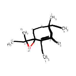 CCC1=C(C)C2(CCC1(C)C)OC2(C)C